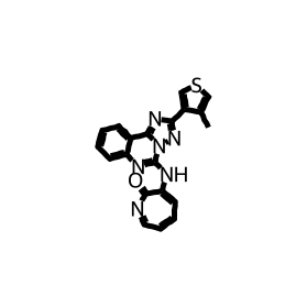 Cc1cscc1-c1nc2c3ccccc3nc(Nc3ccccnc3=O)n2n1